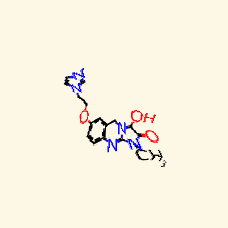 CN1C(=O)C(O)N2Cc3cc(OCCn4ccnc4)ccc3N=C12